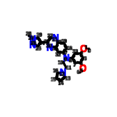 COc1cc(OC)cc(N(CCn2cccc2)c2ccc3ncc(-c4cnn(C)c4)nc3c2)c1